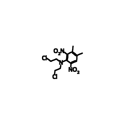 Cc1cc([N+](=O)[O-])c(N(CCCl)CCCl)c([N+](=O)[O-])c1C